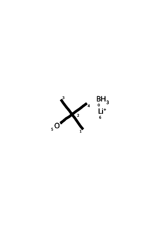 B.CC(C)(C)[O-].[Li+]